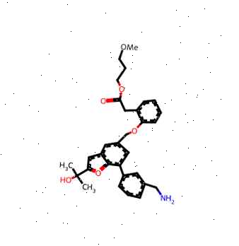 COCCCOC(=O)Cc1ccccc1OCc1cc(-c2cccc(CN)c2)c2oc(C(C)(C)O)cc2c1